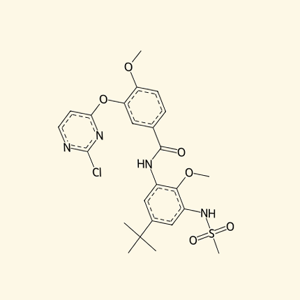 COc1ccc(C(=O)Nc2cc(C(C)(C)C)cc(NS(C)(=O)=O)c2OC)cc1Oc1ccnc(Cl)n1